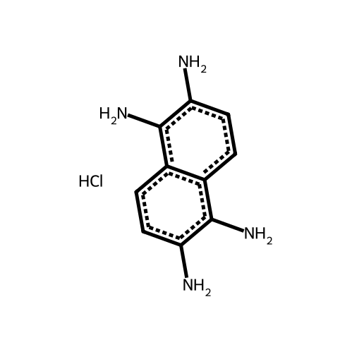 Cl.Nc1ccc2c(N)c(N)ccc2c1N